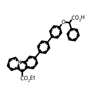 CCOC(=O)c1c2ccc(-c3ccc(-c4ccc(OC(C(=O)O)c5ccccc5)cc4)cc3)cc2n2ccccc12